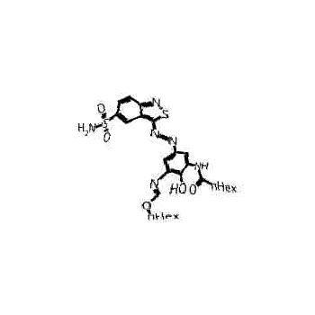 CCCCCCO/C=N/c1cc(/N=N/c2snc3ccc(S(N)(=O)=O)cc23)cc(NC(=O)CCCCCC)c1O